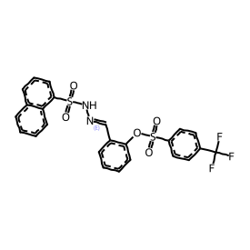 O=S(=O)(N/N=C/c1ccccc1OS(=O)(=O)c1ccc(C(F)(F)F)cc1)c1cccc2ccccc12